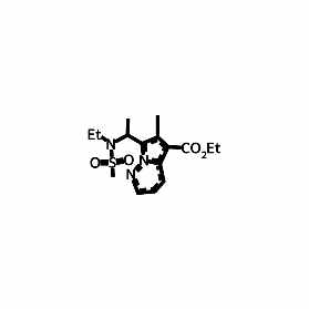 CCOC(=O)c1c(C)c(C(C)N(CC)S(C)(=O)=O)n2ncccc12